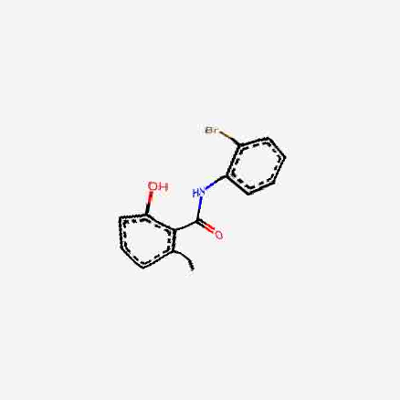 Cc1cccc(O)c1C(=O)Nc1ccccc1Br